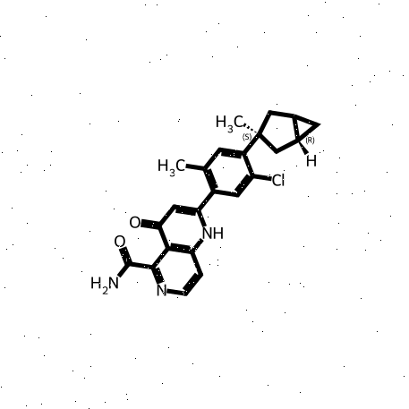 Cc1cc([C@@]2(C)CC3C[C@@H]3C2)c(Cl)cc1-c1cc(=O)c2c(C(N)=O)nccc2[nH]1